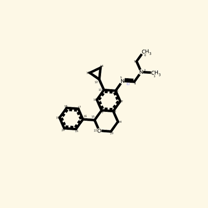 CCN(C)/C=N/c1cc2c(cc1C1CC1)C(c1ccccc1)OCC2